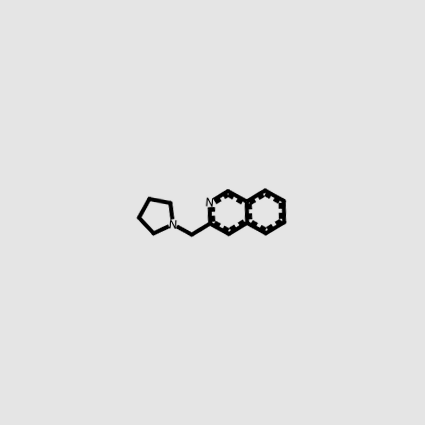 c1ccc2cc(CN3CCCC3)ncc2c1